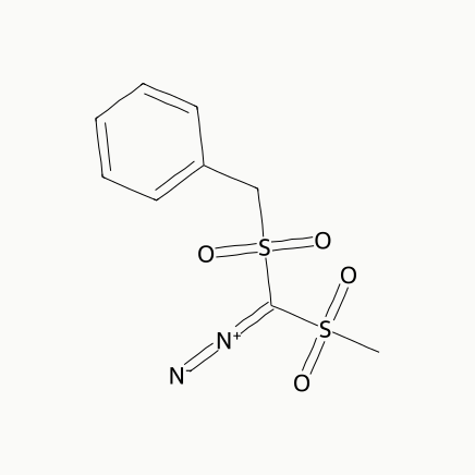 CS(=O)(=O)C(=[N+]=[N-])S(=O)(=O)Cc1ccccc1